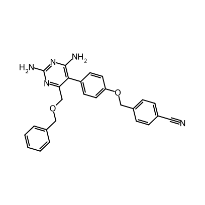 N#Cc1ccc(COc2ccc(-c3c(N)nc(N)nc3COCc3ccccc3)cc2)cc1